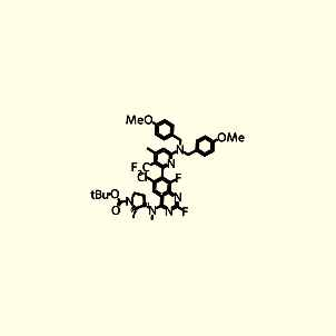 COc1ccc(CN(Cc2ccc(OC)cc2)c2cc(C)c(C(F)(F)F)c(-c3c(Cl)cc4c(N(C)[C@@H]5CCN(C(=O)OC(C)(C)C)[C@@H]5C)nc(F)nc4c3F)n2)cc1